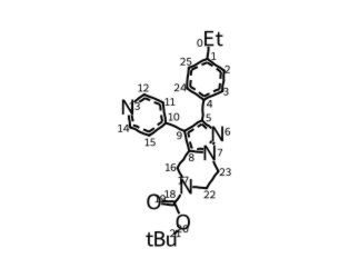 CCc1ccc(-c2nn3c(c2-c2ccncc2)CN(C(=O)OC(C)(C)C)CC3)cc1